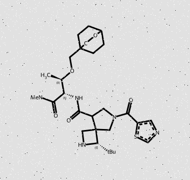 CNC(=O)[C@@H](NC(=O)C1CN(C(=O)c2cncs2)CC12CN[C@H]2C(C)(C)C)[C@@H](C)OCC12CCC(CC1)OC2